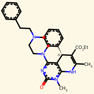 CCOC(=O)C1=C(C)Nc2c(c(N3CCN(CCc4ccccc4)CC3)nc(=O)n2C)[C@@H]1c1ccccc1